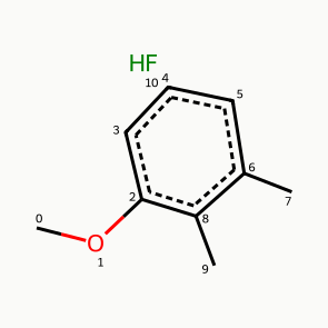 COc1cccc(C)c1C.F